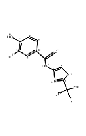 O=C(Nc1csc(C(F)(F)F)n1)c1ccc(O)c(F)c1